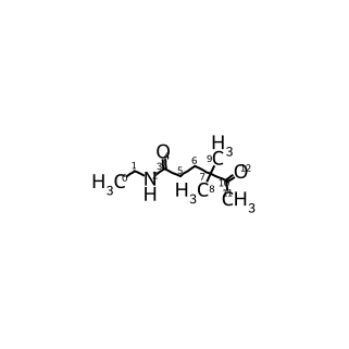 CCNC(=O)CCC(C)(C)C(C)=O